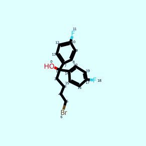 OC(CCCCBr)(c1ccc(F)cc1)c1ccc(F)cc1